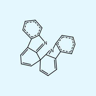 C1=CC2(C=CC=C3C2=Nc2ccccc23)C2=Nc3ccccc3C2=C1